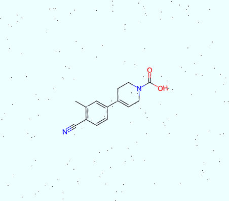 Cc1cc(C2=CCN(C(=O)O)CC2)ccc1C#N